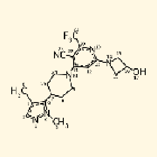 Cc1cnn(C)c1C1CCN(c2cc(N3CC(O)C3)nc(C(F)(F)F)c2C#N)CC1